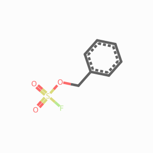 O=S(=O)(F)OCc1ccccc1